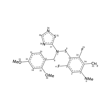 CNc1cc(F)c(SN(Cc2ccc(OC)cc2OC)c2ncns2)c(F)c1C